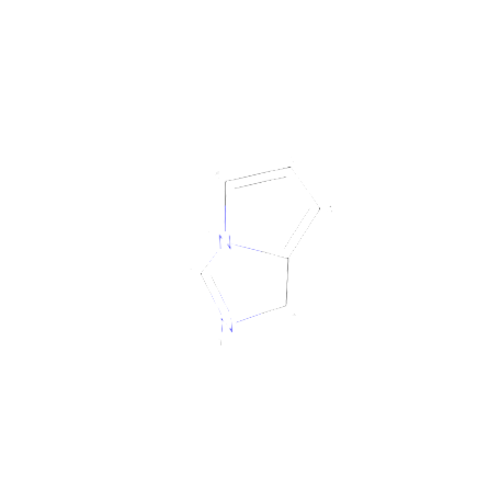 C1=NCc2cccn21